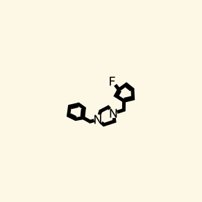 Fc1cccc(CN2CCN(Cc3ccccc3)CC2)c1